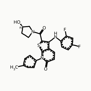 Cc1ccc(-n2c(=O)ccc3c(Nc4ccc(F)cc4F)c(C(=O)N4CC[C@@H](O)C4)sc32)cc1